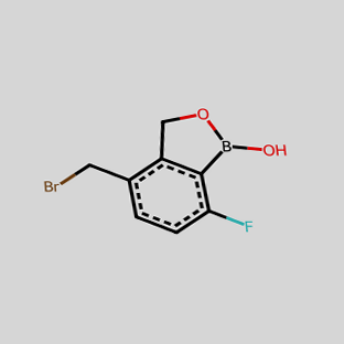 OB1OCc2c(CBr)ccc(F)c21